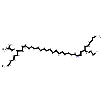 CCCCCCC(C/C=C\CCCCCCCC[CH]CCCCCCC/C=C\CC(CCCCCC)OCC(C)O)OCCO